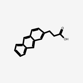 O=C(O)CCc1ccc2cc3ccccc3cc2c1